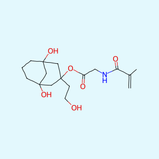 C=C(C)C(=O)NCC(=O)OC1(CCO)CC2(O)CCCC(O)(C2)C1